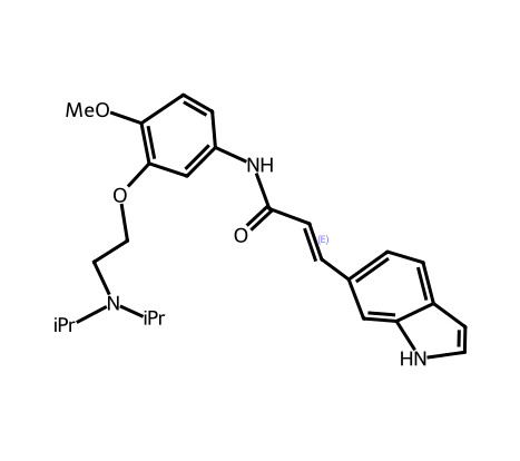 COc1ccc(NC(=O)/C=C/c2ccc3cc[nH]c3c2)cc1OCCN(C(C)C)C(C)C